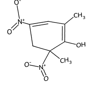 CC1=C(O)C(C)([N+](=O)[O-])CC([N+](=O)[O-])=C1